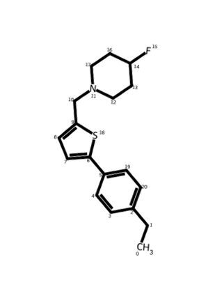 CCc1ccc(-c2ccc(CN3CCC(F)CC3)s2)cc1